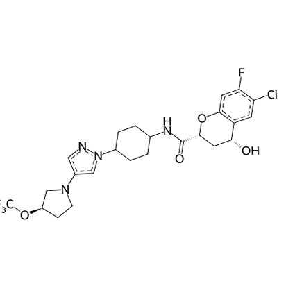 O=C(NC1CCC(n2cc(N3CC[C@@H](OC(F)(F)F)C3)cn2)CC1)[C@H]1C[C@@H](O)c2cc(Cl)c(F)cc2O1